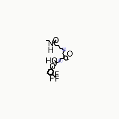 CCNC(=O)CCC/C=C\CC1=C(/C=C/C(O)COc2cccc(C(F)(F)F)c2)CCC1=O